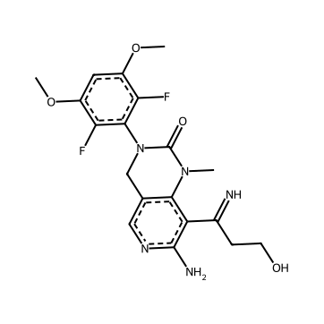 COc1cc(OC)c(F)c(N2Cc3cnc(N)c(C(=N)CCO)c3N(C)C2=O)c1F